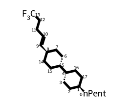 CCCCC[C@H]1CC[C@H]([C@H]2CC[C@H](C=CCCC(F)(F)F)CC2)CC1